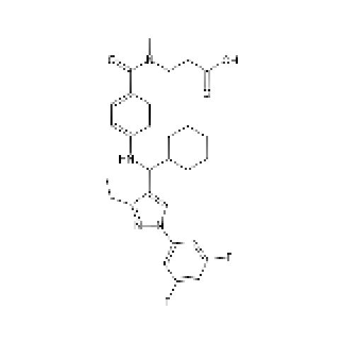 CCc1nn(-c2cc(F)cc(F)c2)cc1C(Nc1ccc(C(=O)N(C)CCC(=O)O)cc1)C1CCCCC1